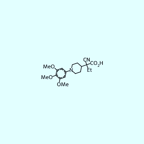 CCC(C#N)(C(=O)O)C1CCN(c2cc(OC)c(OC)c(OC)c2)CC1